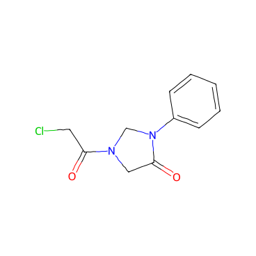 O=C(CCl)N1CC(=O)N(c2ccccc2)C1